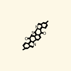 Cc1ccc2c3c(ncc2c1)-c1ccc2c4c(sc(c14)C3=O)-c1ncc3cc(C)ccc3c1C2=O